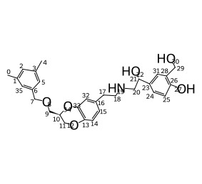 Cc1cc(C)cc(COC[C@@H]2COc3ccc(CCNC[C@H](O)c4ccc(O)c(CO)c4)cc3O2)c1